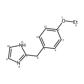 CCOc1ccc(Cc2ncc[nH]2)cc1